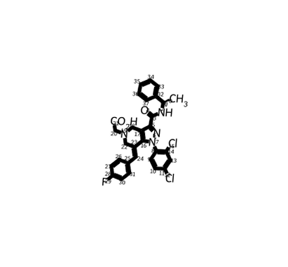 C[C@@H](NC(=O)c1nn(-c2ccc(Cl)cc2Cl)c2c1CN(CC(=O)O)CC2=Cc1ccc(F)cc1)c1ccccc1